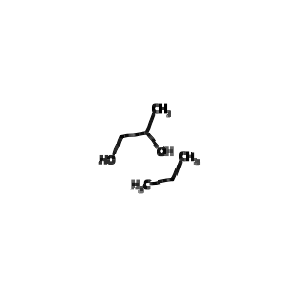 CC(O)CO.CCC